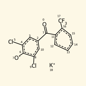 O=C(c1cc(Cl)c([O-])c(Cl)c1)c1ccccc1C(F)(F)F.[K+]